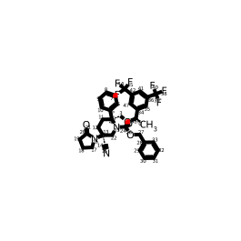 C[C@@H](OC[C@@]1(c2ccccc2)CC[C@](C#N)(N2CCCC2=O)CN1C(=O)OCc1ccccc1)c1cc(C(F)(F)F)cc(C(F)(F)F)c1